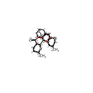 Cc1ccc(OC2CC3CCC2N(C(=O)c2ccc(C)nc2-c2ncccc2F)C3)nc1